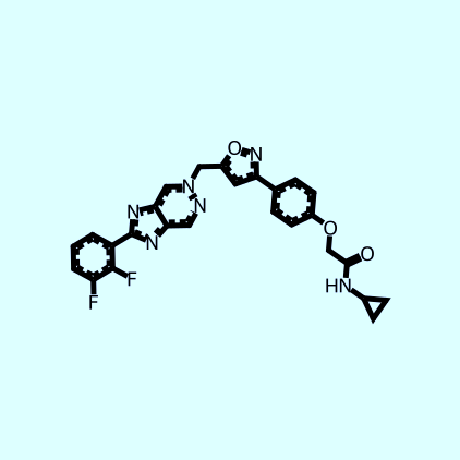 O=C(COc1ccc(-c2cc(Cn3cc4nc(-c5cccc(F)c5F)nc-4cn3)on2)cc1)NC1CC1